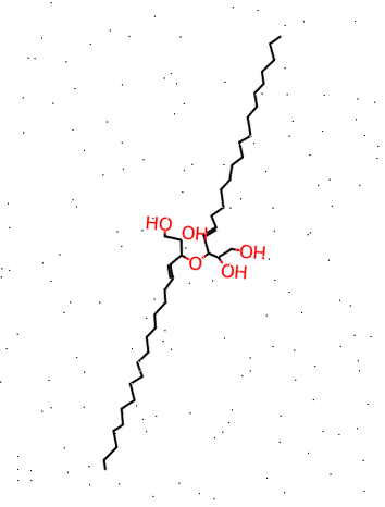 CCCCCCCCCCCCCCCCC=CC(OC(C=CCCCCCCCCCCCCCCCC)C(O)CO)C(O)CO